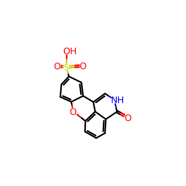 O=c1[nH]cc2c3c(cccc13)Oc1ccc(S(=O)(=O)O)cc1-2